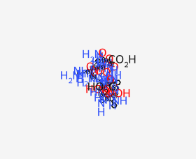 N=C(N)NCCC[C@H](NC(=O)[C@@H](N)CCCCN)C(=O)N[C@@H](Cc1ccccc1)C(=O)N[C@@H](CCCCN)C(=O)N[C@@H](CCC(N)=O)C(=O)N[C@@H](CC(=O)O)C(=O)NCC(=O)NCC(=O)N[C@@H](Cc1c[nH]c2ccccc12)C(=O)N[C@@H](CO)C(=O)N[C@@H](Cc1c[nH]cn1)C(=O)N[C@@H](Cc1c[nH]c2ccccc12)C(=O)N[C@@H](CO)C(=O)N1CCC[C@H]1C(=O)O